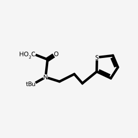 CC(C)(C)N(CCCc1cccs1)C(=O)C(=O)O